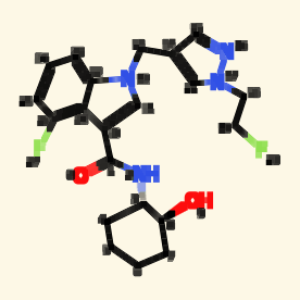 O=C(N[C@H]1CCCC[C@@H]1O)c1cn(Cc2cnn(CCF)c2)c2cccc(F)c12